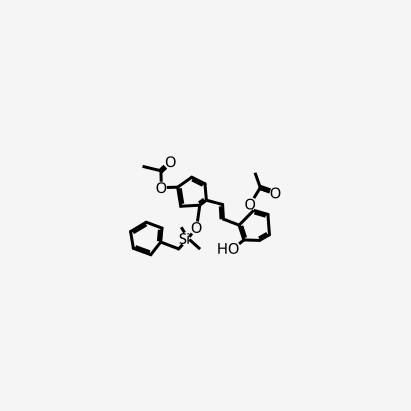 CC(=O)Oc1ccc(C=Cc2c(O)cccc2OC(C)=O)c(O[Si](C)(C)Cc2ccccc2)c1